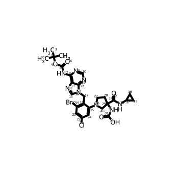 CC(C)(C)OC(=O)Nc1ncnc2c1ncn2Cc1c(Br)cc(Cl)cc1N1CCC(NC(=O)O)(C(=O)NC2CC2)C1